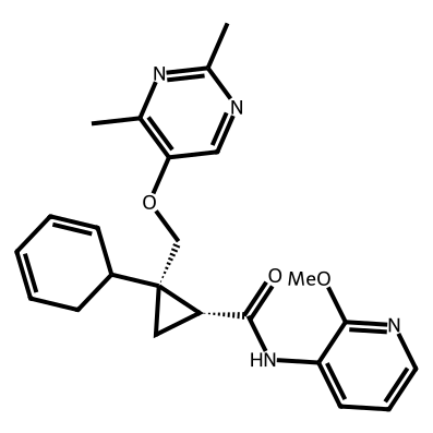 COc1ncccc1NC(=O)[C@@H]1C[C@@]1(COc1cnc(C)nc1C)C1C=CC=CC1